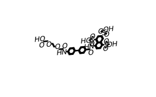 O=C(O)COCCOCC(=O)Nc1ccc(-c2ccc(C(=O)Nc3ccc(S(=O)(=O)O)c4cc(S(=O)(=O)O)cc(S(=O)(=O)O)c34)cc2)cc1